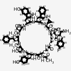 CC(=O)N[C@H]1CNC(=O)CSC[C@@H](C(=O)N(C)[C@@H](Cc2ccc(F)cc2)C(N)=O)N(C)C(=O)[C@H](C2CC2)NC(=O)[C@H](Cc2c[nH]c3ccccc23)NC(=O)[C@H](Cc2c[nH]c3ccc(O)cc23)NC(=O)[C@H](CO)N(C)C(=O)[C@H](CCc2ccccc2)N(C)C(=O)[C@H](CO)NC(=O)[C@H](Cc2ccc(O)cc2)NC1=O